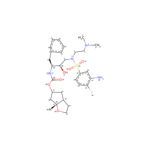 CN(C)CCN(C[C@@H](O)[C@H](Cc1ccccc1)NC(=O)OC1CC2CCO[C@@H]2C1)S(=O)(=O)c1ccc(F)c(N)c1